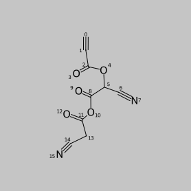 C#CC(=O)OC(C#N)C(=O)OC(=O)CC#N